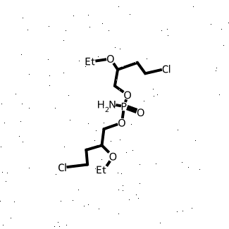 CCOC(CCCl)COP(N)(=O)OCC(CCCl)OCC